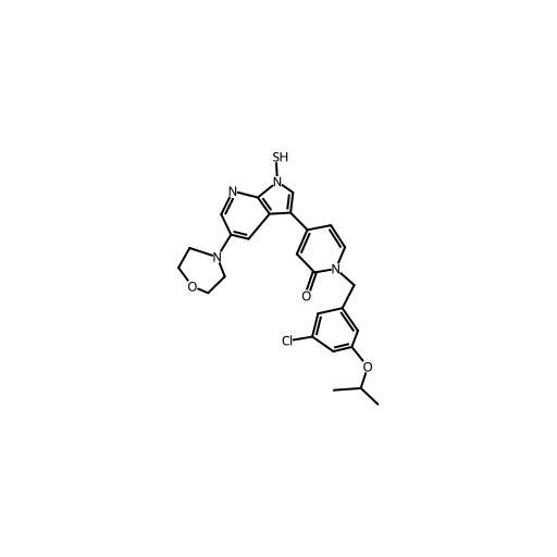 CC(C)Oc1cc(Cl)cc(Cn2ccc(-c3cn(S)c4ncc(N5CCOCC5)cc34)cc2=O)c1